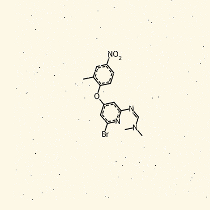 Cc1cc([N+](=O)[O-])ccc1Oc1cc(Br)nc(/N=C\N(C)C)c1